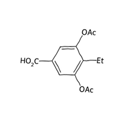 CCc1c(OC(C)=O)cc(C(=O)O)cc1OC(C)=O